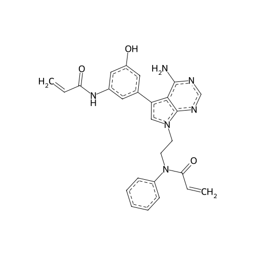 C=CC(=O)Nc1cc(O)cc(-c2cn(CCN(C(=O)C=C)c3ccccc3)c3ncnc(N)c23)c1